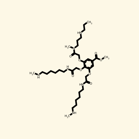 CCCNCCCN(C)C(=O)COc1cc(C(=O)OC)cc(OCC(=O)NCCCCCCNC)c1OCC(=O)NCCCCCCNC